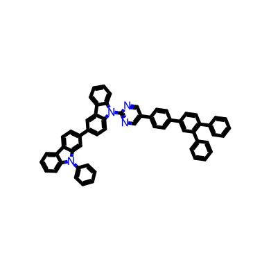 c1ccc(-c2ccc(-c3ccc(-c4cnc(-n5c6ccccc6c6cc(-c7ccc8c9ccccc9n(-c9ccccc9)c8c7)ccc65)nc4)cc3)cc2-c2ccccc2)cc1